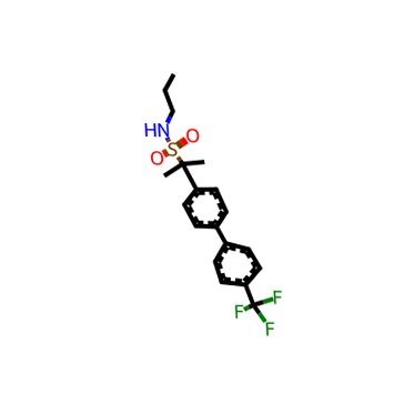 CCCNS(=O)(=O)C(C)(C)c1ccc(-c2ccc(C(F)(F)F)cc2)cc1